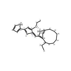 CCOC1=CC(c2ccc[nH]2)=N/C1=C/c1[nH]c2cc1C(CC)CCCCCC2